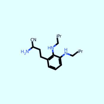 CC(C)CNc1cccc(CCC(N)C#N)c1NCC(C)C